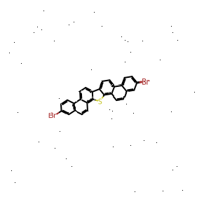 Brc1ccc2c(ccc3c2ccc2c4ccc5c6ccc(Br)cc6ccc5c4sc32)c1